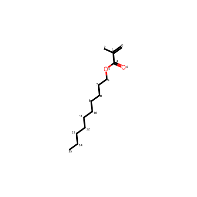 C=C(C)C(=O)OCCCCCCCCCC